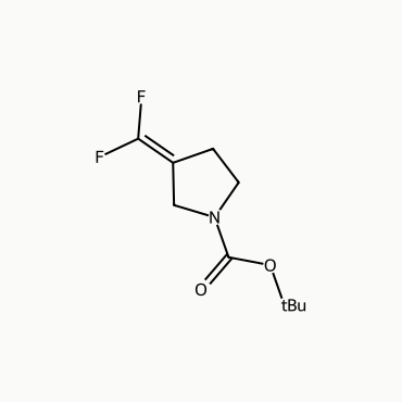 CC(C)(C)OC(=O)N1CCC(=C(F)F)C1